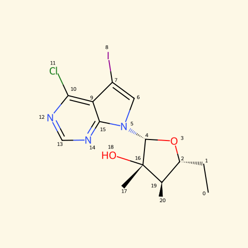 CC[C@H]1O[C@@H](n2cc(I)c3c(Cl)ncnc32)[C@@](C)(O)[C@@H]1C